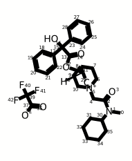 CN(C(=O)C[N+]12CCC(CC1)[C@@H](OC(=O)C(O)(c1ccccc1)c1ccccc1)C2)C1CCCCC1.O=C([O-])C(F)(F)F